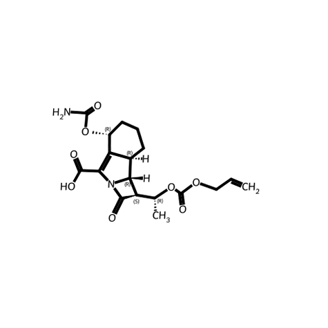 C=CCOC(=O)O[C@H](C)[C@H]1C(=O)N2C(C(=O)O)=C3[C@@H](CCC[C@H]3OC(N)=O)[C@H]12